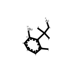 CC(=O)CC(C)(C)c1c(C)cccc1C(C)(C)C